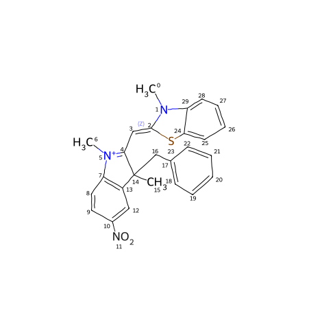 CN1/C(=C/C2=[N+](C)c3ccc([N+](=O)[O-])cc3C2(C)Cc2ccccc2)Sc2ccccc21